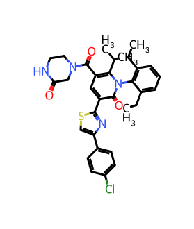 CCc1cccc(CC)c1-n1c(C(C)C)c(C(=O)N2CCNC(=O)C2)cc(-c2nc(-c3ccc(Cl)cc3)cs2)c1=O